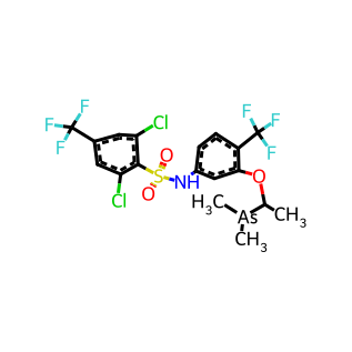 CC(Oc1cc(NS(=O)(=O)c2c(Cl)cc(C(F)(F)F)cc2Cl)ccc1C(F)(F)F)[As](C)C